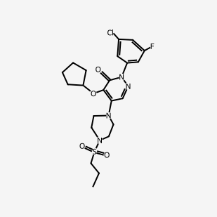 CCCS(=O)(=O)N1CCN(c2cnn(-c3cc(F)cc(Cl)c3)c(=O)c2OC2CCCC2)CC1